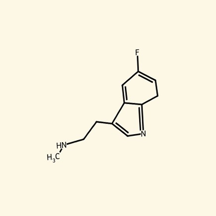 CNCCC1=CN=C2CC=C(F)C=C12